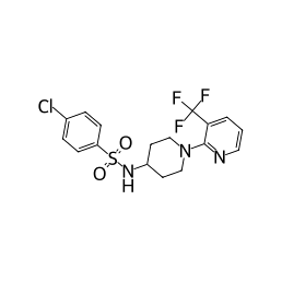 O=S(=O)(NC1CCN(c2ncccc2C(F)(F)F)CC1)c1ccc(Cl)cc1